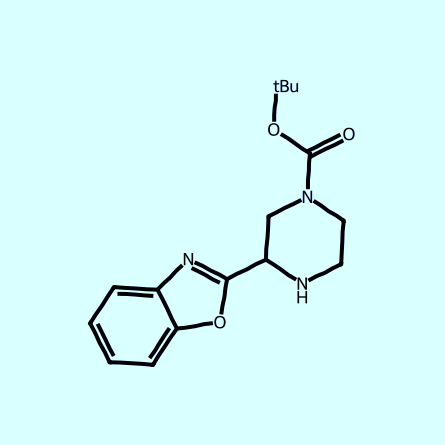 CC(C)(C)OC(=O)N1CCNC(c2nc3ccccc3o2)C1